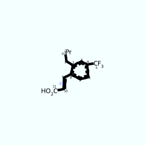 CC(C)Cc1cc(C(F)(F)F)ccc1/C=C/C(=O)O